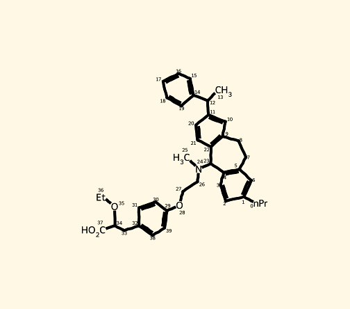 CCCc1ccc2c(c1)CCc1cc(C(C)c3ccccc3)ccc1C2N(C)CCOc1ccc(CC(OCC)C(=O)O)cc1